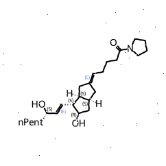 CCCCC[C@H](O)/C=C/[C@@H]1[C@H]2C/C(=C/CCCC(=O)N3CCCC3)C[C@H]2C[C@H]1O